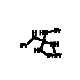 CC(C)[NH][Ti]([NH]C(C)C)([NH]C(C)C)[NH]C(C)C